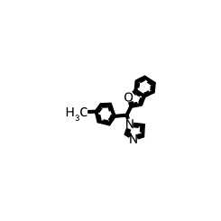 Cc1ccc(C(c2cc3ccccc3o2)n2ccnc2)cc1